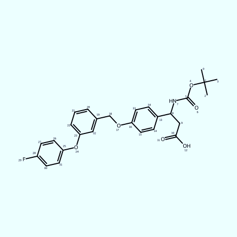 CC(C)(C)OC(=O)NC(CC(=O)O)c1ccc(OCc2cccc(Oc3ccc(F)cc3)c2)cc1